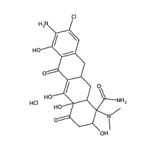 CN(C)C1(C(N)=O)C(O)CC(=O)C2(O)C(O)=C3C(=O)c4c(cc(Cl)c(N)c4O)CC3CC21.Cl